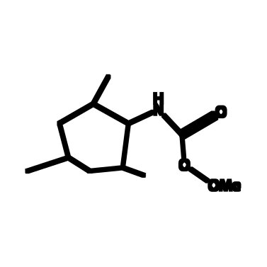 COOC(=O)NC1C(C)CC(C)CC1C